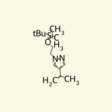 C=C(C)c1cnn(CCO[Si](C)(C)C(C)(C)C)c1